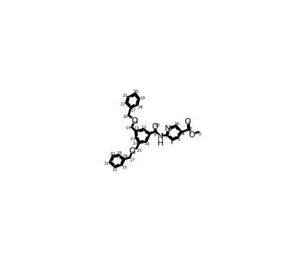 COC(=O)c1ccc(NC(=O)c2cc(COCc3ccccc3)cc(COCc3ccccc3)c2)nc1